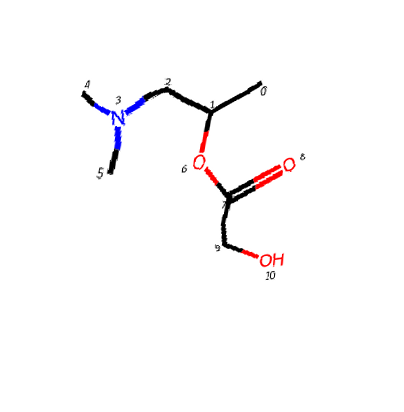 CC(CN(C)C)OC(=O)CO